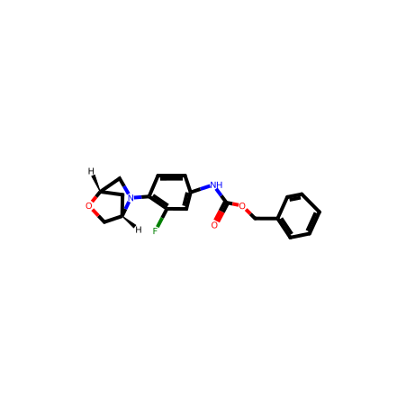 O=C(Nc1ccc(N2C[C@@H]3C[C@H]2CO3)c(F)c1)OCc1ccccc1